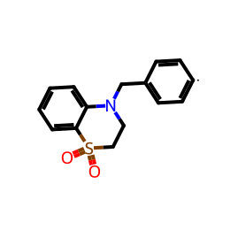 O=S1(=O)CCN(Cc2cc[c]cc2)c2ccccc21